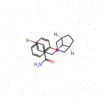 NC(=O)c1cc(Br)ccc1OC1[C@@H]2CC[C@H]1CN(Cc1ccccc1)C2